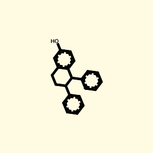 Oc1ccc2c(c1)CCC(c1ccccc1)C2c1[c]cccc1